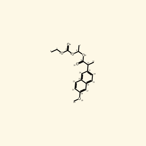 CCOC(=O)OC(C)OC(=O)C(C)c1ccc2cc(OC)ccc2c1